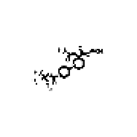 CCOC(=O)C1(CC(N)=O)CCCN(C2CCN(C(=O)OC(C)(C)C)CC2)C1